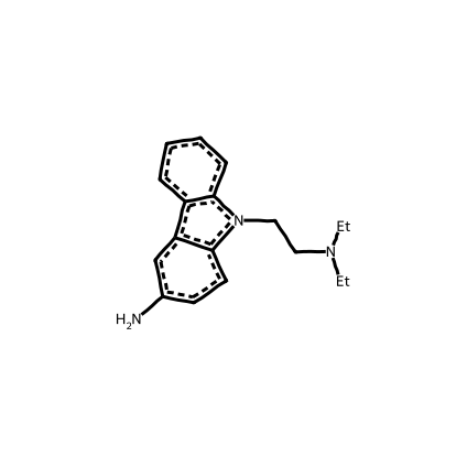 CCN(CC)CCn1c2ccccc2c2cc(N)ccc21